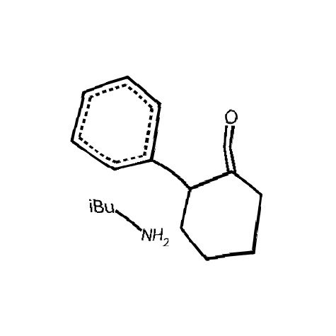 CCC(C)N.O=C1CCCCC1c1ccccc1